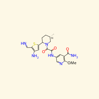 COc1ncc(NC(=O)C(=O)N2C[C@@H](C)CCC2c2cc(N)c(C=N)s2)cc1C(N)=O